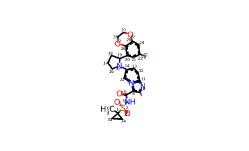 CC1(S(=O)(=O)NC(=O)c2cnc3ccc(N4CCCC4c4cc(F)cc5c4OCCO5)cn23)CC1